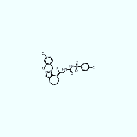 O=C(NCC(F)=C1CCCCc2cnn(Cc3ccc(Cl)cc3Cl)c21)NS(=O)(=O)c1ccc(Cl)cc1